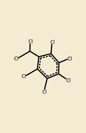 Clc1c(Cl)c(Cl)c(C(Cl)Cl)c(Cl)c1Cl